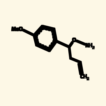 C=CCC(ON)c1ccc(OC)cc1